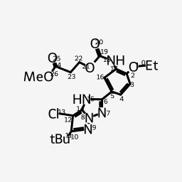 CCOc1ccc(-c2nn3nc(C(C)(C)C)c(Cl)c3[nH]2)cc1NC(=O)OCCC(=O)OC